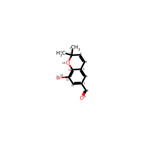 CC1(C)C=Cc2cc(C=O)cc(Br)c2O1